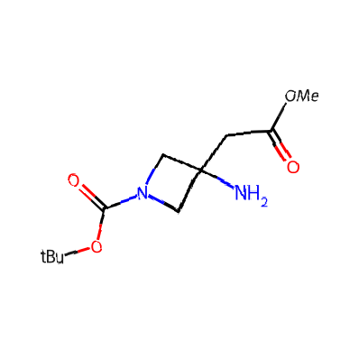 COC(=O)CC1(N)CN(C(=O)OC(C)(C)C)C1